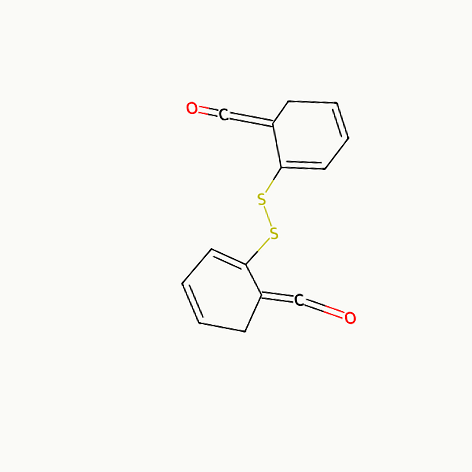 O=C=C1CC=CC=C1SSC1=CC=CCC1=C=O